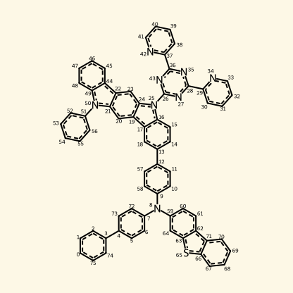 c1ccc(-c2ccc(N(c3ccc(-c4ccc5c(c4)c4cc6c(cc4n5-c4nc(-c5ccccn5)nc(-c5ccccn5)n4)c4ccccc4n6-c4ccccc4)cc3)c3ccc4c(c3)sc3ccccc34)cc2)cc1